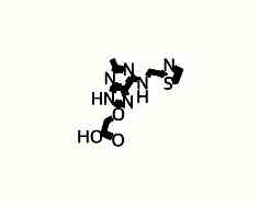 Cc1nc(NCc2nccs2)c2nc(OCC(=O)O)[nH]c2n1